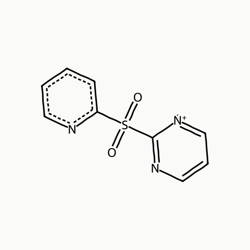 O=S(=O)(C1=NC=CC=[N+]1)c1ccccn1